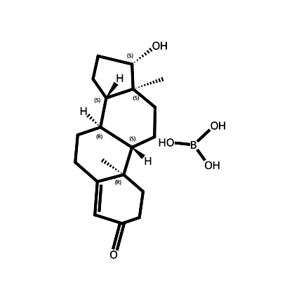 C[C@]12CC[C@H]3[C@@H](CCC4=CC(=O)CC[C@@]43C)[C@@H]1CC[C@@H]2O.OB(O)O